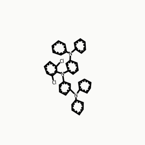 Clc1cccc(Cl)c1N(c1cccc(N(c2ccccc2)c2ccccc2)c1)c1cccc(N(c2ccccc2)c2ccccc2)c1